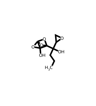 CCCC(O)(C1CO1)C12OC3(OC31O)O2